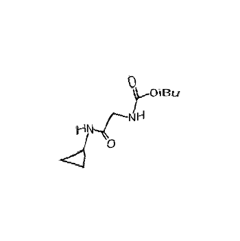 CC(C)COC(=O)NCC(=O)NC1CC1